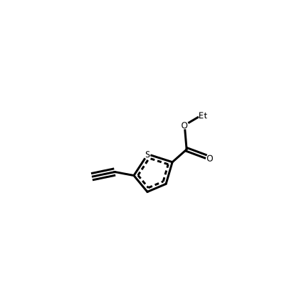 C#Cc1ccc(C(=O)OCC)s1